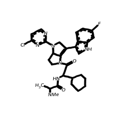 CNC(C)C(=O)NC(C(=O)N1CCC2C1=C(c1c[nH]c3cc(F)ccc13)CN2c1nccc(Cl)n1)C1CCCCC1